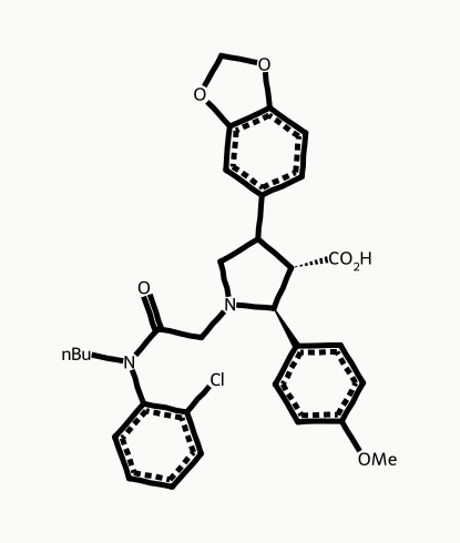 CCCCN(C(=O)CN1CC(c2ccc3c(c2)OCO3)[C@H](C(=O)O)[C@H]1c1ccc(OC)cc1)c1ccccc1Cl